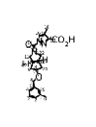 Cc1cccc(CO[C@H]2C[C@@H]3CN(C(=O)n4cc(C)c(C(=O)O)n4)C[C@@H]3C2)c1